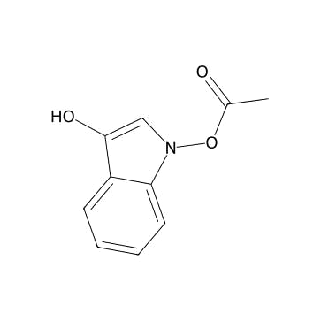 CC(=O)On1cc(O)c2ccccc21